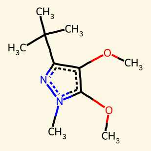 COc1c(C(C)(C)C)nn(C)c1OC